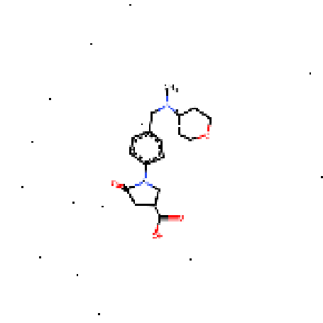 CN(Cc1ccc(N2C[C@@H](C(=O)O)CC2=O)cc1)C1CCOCC1